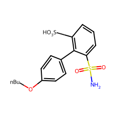 CCCCOc1ccc(-c2c(S(N)(=O)=O)cccc2S(=O)(=O)O)cc1